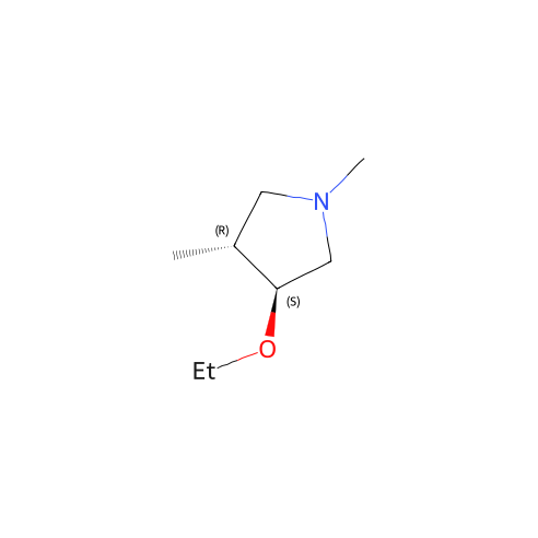 CCO[C@@H]1CN(C)C[C@H]1C